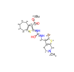 CN1CCc2c(sc(Br)c2CNC(O)Nc2sc3c(c2C(=O)OC(C)(C)C)CCCCC3)C1